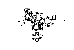 O=COC1(c2cnc(N3CCOCC3)nc2)c2[nH]c3ccc(Cl)cc3c2CCN1c1nc(C(F)(F)F)cc(C(F)(F)F)n1